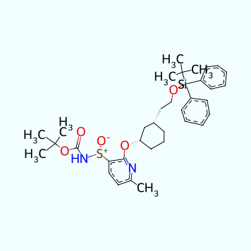 Cc1ccc([S@@+]([O-])NC(=O)OC(C)(C)C)c(O[C@H]2CCC[C@@H](CCO[Si](c3ccccc3)(c3ccccc3)C(C)(C)C)C2)n1